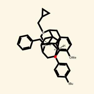 COc1ccc2c(c1Oc1ccc(C(C)(C)C)cc1)[C@]13CCN(CC4CC4)C(C2)C12CC3C1CC[C@@H](CN1Cc1ccccc1)C2